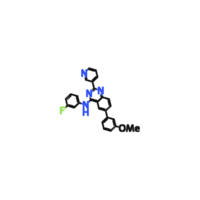 COc1cccc(-c2ccc3nc(-c4cccnc4)nc(Nc4cccc(F)c4)c3c2)c1